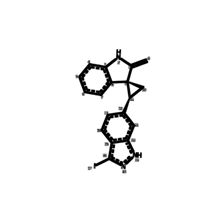 C=C1Nc2ccccc2[C@]12C[C@H]2c1ccc2c(I)n[nH]c2c1